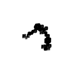 COCCOc1cccc2oc(C(=O)NCCOc3ccc(C(=O)NO)cc3)cc12